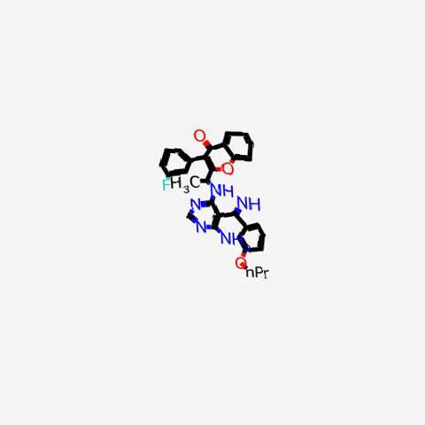 CCCOc1cccc(C(=N)c2c(N)ncnc2NC(C)c2oc3ccccc3c(=O)c2-c2cccc(F)c2)c1